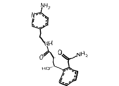 NC(=O)c1ccccc1[C@H](O)[CH]C(=O)NCc1ccc(N)nc1